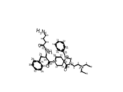 CCN(CC)CCN1CN(c2ccccc2)C2(CCN(C(=O)[C@@H](Cc3ccccc3)NC(=O)CCCN)CC2)C1=O